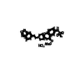 CON=C1CC2(CCN(CCc3ccc4nonc4c3)CC2)Oc2ccc(NS(C)(=O)=O)cc21.Cl